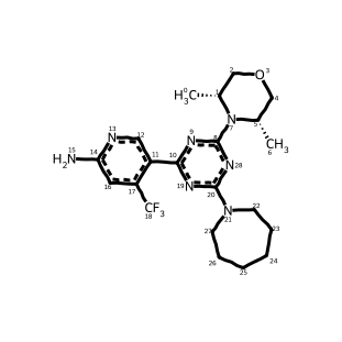 C[C@@H]1COC[C@H](C)N1c1nc(-c2cnc(N)cc2C(F)(F)F)nc(N2CCCCCC2)n1